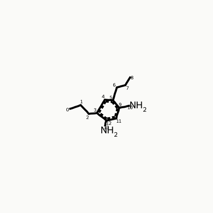 CCCc1cc(CCC)c(N)cc1N